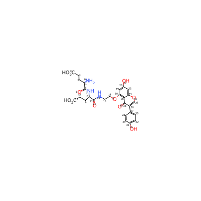 N[C@H](CCC(=O)O)C(=O)N[C@H](CCC(=O)O)C(=O)NCCOc1cc(O)cc2occ(-c3ccc(O)cc3)c(=O)c12